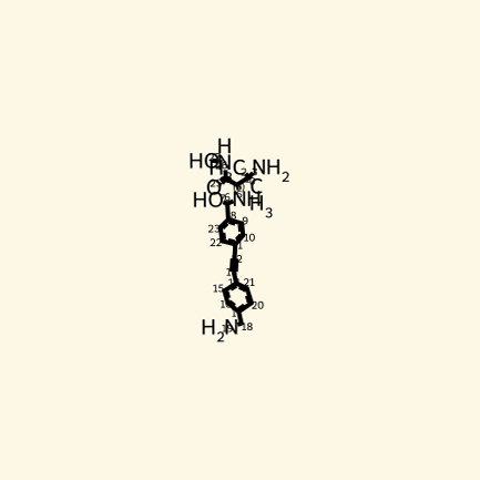 CC(C)(N)[C@H](NC(O)c1ccc(C#Cc2ccc(CN)cc2)cc1)C(=O)NO